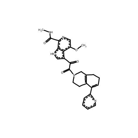 CNC(=O)c1ncc(OC)c2c(C(=O)C(=O)N3CCC4=C(CCC=C4c4ccccn4)C3)c[nH]c12